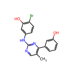 Cc1cnc(Nc2ccc(Br)c(O)c2)nc1-c1cccc(O)c1